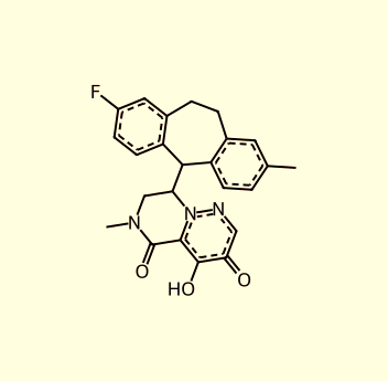 Cc1ccc2c(c1)CCc1cc(F)ccc1C2C1CN(C)C(=O)c2c(O)c(=O)cnn21